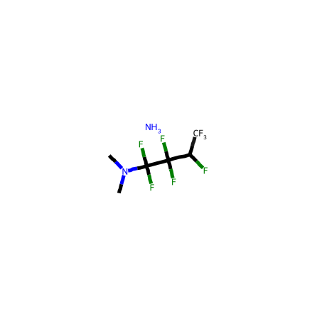 CN(C)C(F)(F)C(F)(F)C(F)C(F)(F)F.N